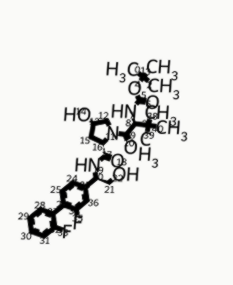 CC(C)(C)OC(=O)N[C@H](C(=O)N1C[C@H](O)C[C@H]1C(=O)N[C@@H](CO)c1ccc(-c2ccccc2F)c(F)c1)C(C)(C)C